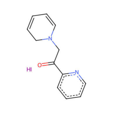 I.O=C(CN1C=CC=CC1)c1ccccn1